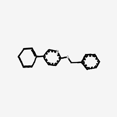 C1=C(c2ccc(OCc3ccccc3)nc2)CCCC1